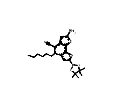 Bc1cc2c(C#N)c(CCCCCC)c3cc(B4OC(C)(C)C(C)(C)O4)sc3c2s1